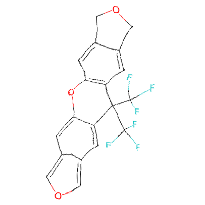 FC(F)(F)C1(C(F)(F)F)c2cc3c(cc2Oc2cc4cocc4cc21)COC3